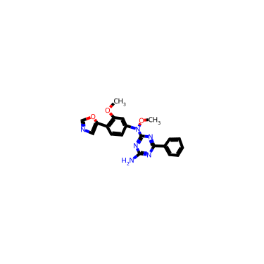 COc1cc(N(OC)c2nc(N)nc(-c3ccccc3)n2)ccc1-c1cnco1